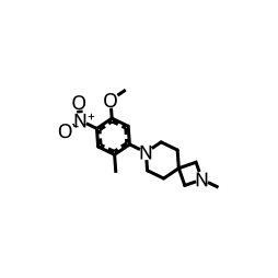 COc1cc(N2CCC3(CC2)CN(C)C3)c(C)cc1[N+](=O)[O-]